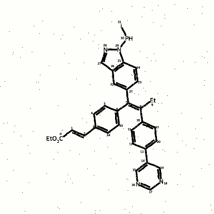 CCOC(=O)/C=C/c1ccc(/C(=C(/CC)c2ccc(-c3cncnc3)cc2)c2ccc3c(cnn3PI)c2)cc1